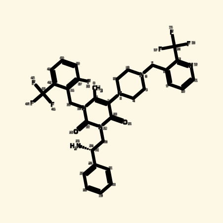 Cc1c(N2CCN(Cc3cccnc3C(F)(F)F)CC2)c(=O)n(C[C@@H](N)c2ccccc2)c(=O)n1Cc1c(F)cccc1C(F)(F)F